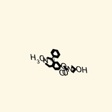 CN1CCc2cc(Cl)c(OC(=O)N3CC(O)C3)cc2[C@H](c2ccccc2)C1